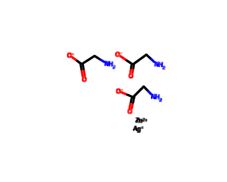 NCC(=O)[O-].NCC(=O)[O-].NCC(=O)[O-].[Ag+].[Zn+2]